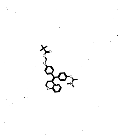 CC(Oc1ccc(/C(=C2/CCOc3ccccc32)c2ccc(OCOC(=O)C(C)(C)C)cc2)cc1)N(C)C